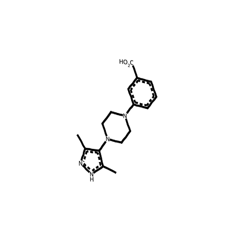 Cc1n[nH]c(C)c1N1CCN(c2cccc(C(=O)O)c2)CC1